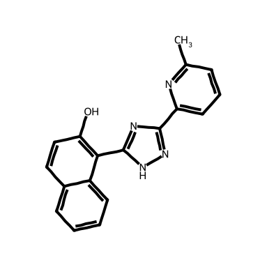 Cc1cccc(-c2n[nH]c(-c3c(O)ccc4ccccc34)n2)n1